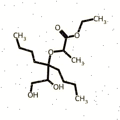 CCCCC(CCCC)(OC(C)C(=O)OCC)C(O)CO